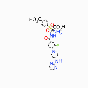 N[C@](CNC(=O)c1ccc(N2CCC(Nc3ncccn3)CC2)c(F)c1)(C(=O)O)S(=O)(=O)c1ccc(C(=O)O)cc1